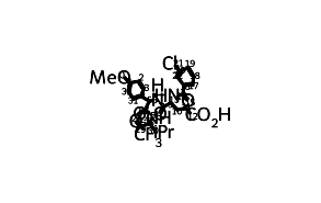 COc1ccc(C(NC(=O)C(CCC(=O)O)NC(=O)c2cccc(Cl)c2)C(=O)NC(C(=O)C(F)(F)F)C(C)C)cc1